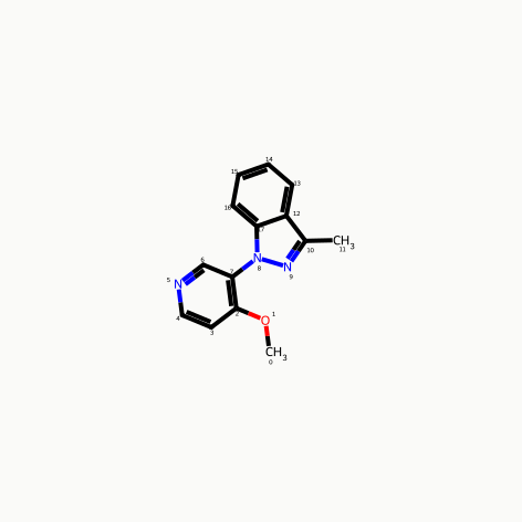 COc1ccncc1-n1nc(C)c2ccccc21